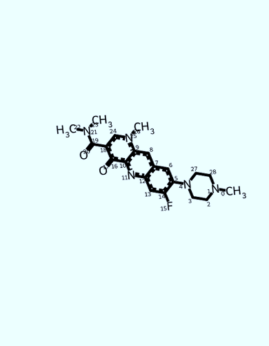 CN1CCN(c2cc3cc4c(nc3cc2F)c(=O)c(C(=O)N(C)C)cn4C)CC1